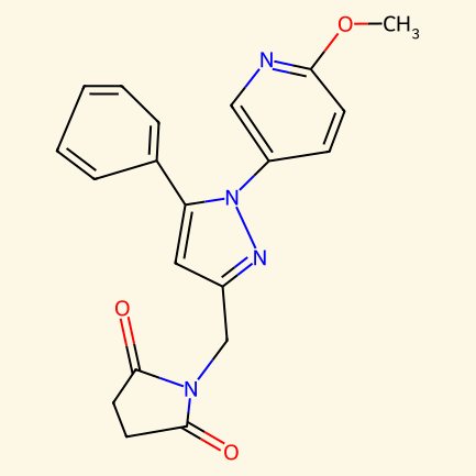 COc1ccc(-n2nc(CN3C(=O)CCC3=O)cc2-c2ccccc2)cn1